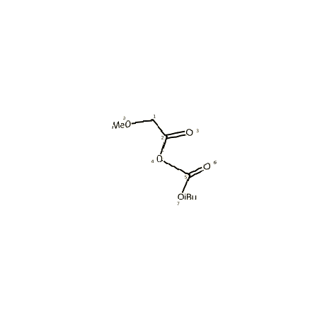 COCC(=O)OC(=O)OCC(C)C